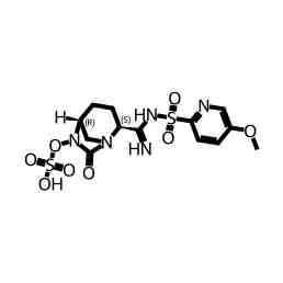 COc1ccc(S(=O)(=O)NC(=N)[C@@H]2CC[C@@H]3CN2C(=O)N3OS(=O)(=O)O)nc1